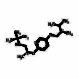 CC(C)[C@@H](C)COc1ccc(O[C@H](C)CNC(C)(C)C)nc1